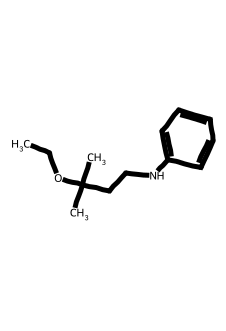 CCOC(C)(C)CCNc1ccccc1